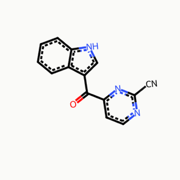 N#Cc1nccc(C(=O)c2c[nH]c3ccccc23)n1